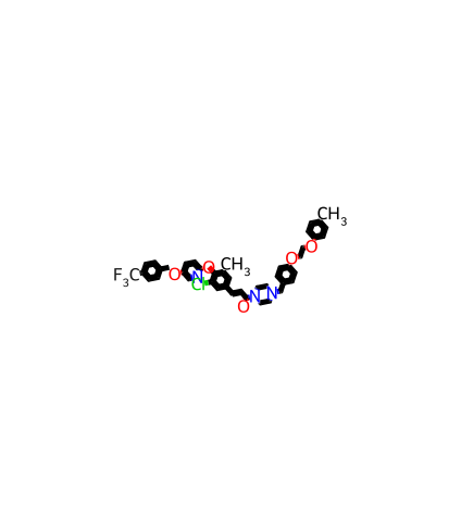 Cc1ccc(OCCOc2ccc(CN3CCN(C(=O)/C=C/c4cc(C)c(Oc5ccc(OCc6ccc(C(F)(F)F)cc6)cn5)c(Cl)c4)CC3)cc2)cc1